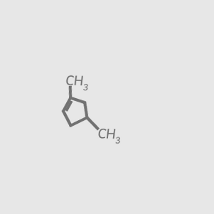 CC1=CCC(C)C1